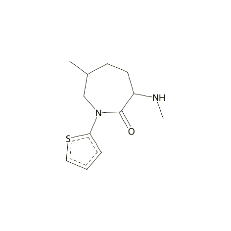 CNC1CCC(C)CN(c2cccs2)C1=O